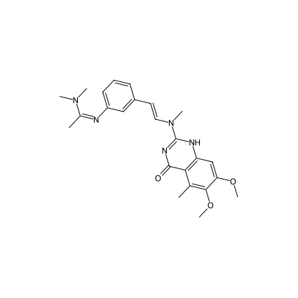 COc1cc2[nH]c(N(C)C=Cc3cccc(N=C(C)N(C)C)c3)nc(=O)c2c(C)c1OC